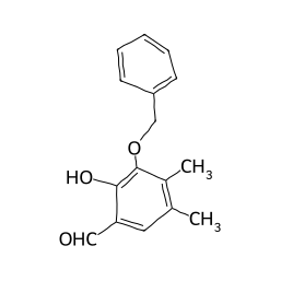 Cc1cc(C=O)c(O)c(OCc2ccccc2)c1C